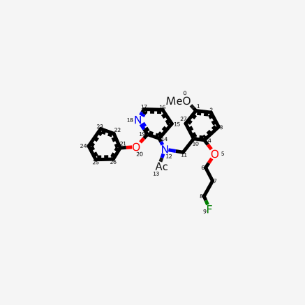 COc1ccc(OCCCF)c(CN(C(C)=O)c2cccnc2Oc2ccccc2)c1